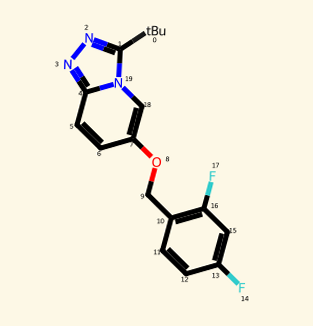 CC(C)(C)c1nnc2ccc(OCc3ccc(F)cc3F)cn12